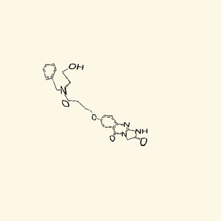 O=C1Cn2c(nc3ccc(OCCCC(=O)N(CCO)Cc4ccccc4)cc3c2=O)N1